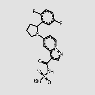 CC(C)(C)S(=O)(=O)NC(=O)c1cnn2ccc(N3CCCC3c3cc(F)ccc3F)cc12